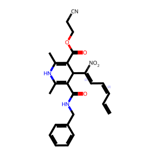 C=C/C=C\C=C(\C1C(C(=O)NCc2ccccc2)=C(C)NC(C)=C1C(=O)OCCC#N)[N+](=O)[O-]